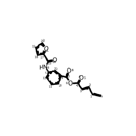 C=C/C=C/C(=O)OC(=O)c1cccc(NC(=O)c2ccco2)c1